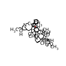 CC[C@]1(O)CC2CN(CCc3c([nH]c4ccccc34)[C@@](C(=O)OC)(c3cc4c(cc3OC)N(C)[C@H]3[C@@](O)(C(=O)NNC(=O)OC)[C@H](O)[C@]5(CC)C=CCN6CC[C@]43[C@@H]65)C2)C1